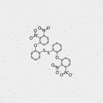 O=[N+]([O-])c1cccc(Oc2ccccc2SSc2ccccc2Oc2cccc([N+](=O)[O-])c2[N+](=O)[O-])c1[N+](=O)[O-]